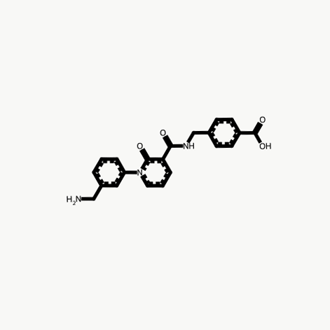 NCc1cccc(-n2cccc(C(=O)NCc3ccc(C(=O)O)cc3)c2=O)c1